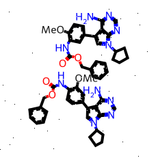 COc1cc(-c2cn(C3CCCC3)c3ncnc(N)c23)ccc1NC(=O)OCc1ccccc1.COc1ccc(-c2cn(C3CCCC3)c3ncnc(N)c23)cc1NC(=O)OCc1ccccc1